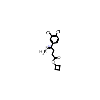 B/N=C(\CCC(=O)OC1CCC1)c1ccc(Cl)c(Cl)c1